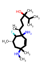 CNC1(C)C=CC(N)([C@@H](C)CCC(C)(O)C(C)C)C(F)[C@@H](C)C1